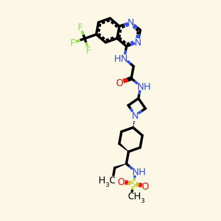 CC[C@H](NS(C)(=O)=O)[C@H]1CC[C@H](N2CC(NC(=O)CNc3ncnc4ccc(C(F)(F)F)cc34)C2)CC1